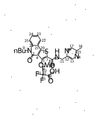 CCCCn1c(=O)c2c(OC)c(C(=O)NCc3cnc(C)cn3)sc2c2ccccc21.O=C(O)C(F)(F)F